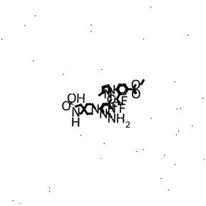 CCOC(=O)c1ccc(-n2ccc(C)n2)c([C@@H](Oc2cc(N3CCC4(CC3)CN[C@H](C(=O)O)C4)nc(N)n2)C(F)(F)F)c1